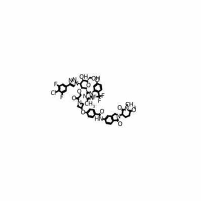 Cc1nc([C@@H]2O[C@H](CO)[C@H](O)[C@H](n3cc(-c4cc(F)c(Cl)c(F)c4)nn3)[C@H]2OCC(=O)N2CC(Oc3ccc(C(=O)Nc4ccc5c(c4)CN(C4CCC(=O)N(C)C4=O)C5=O)cc3)C2)n(-c2cc(Cl)ccc2C(F)(F)F)n1